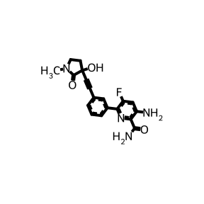 CN1CCC(O)(C#Cc2cccc(-c3nc(C(N)=O)c(N)cc3F)c2)C1=O